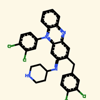 Clc1ccc(Cc2cc3nc4ccccc4n(-c4ccc(Cl)c(Cl)c4)c-3cc2=NC2CCNCC2)cc1Cl